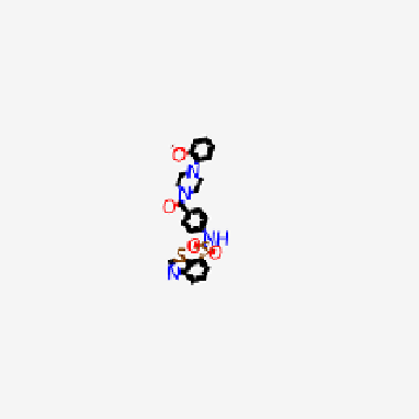 COc1ccccc1N1CCN(C(=O)c2ccc(NS(=O)(=O)c3cccc4ncsc34)cc2)CC1